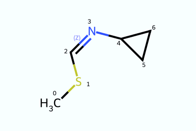 CS/C=N\C1CC1